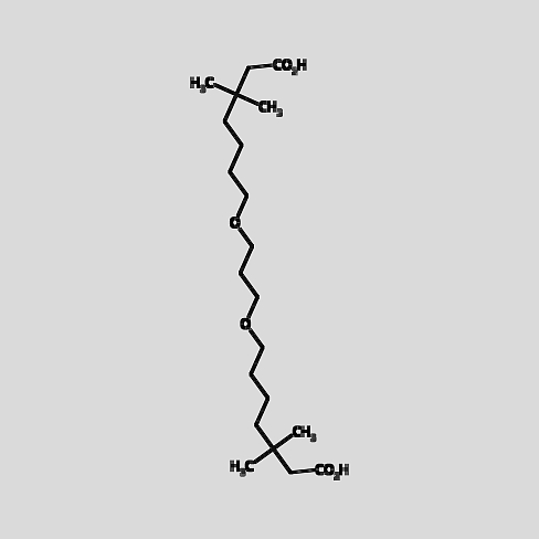 CC(C)(CCCCOCCCOCCCCC(C)(C)CC(=O)O)CC(=O)O